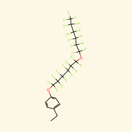 CCc1ccc(OC(F)(F)C(F)(F)C(F)(F)C(F)(F)C(F)(F)C(F)(F)OC(F)(F)C(F)(F)C(F)(F)C(F)(F)C(F)(F)C(F)(F)F)cc1